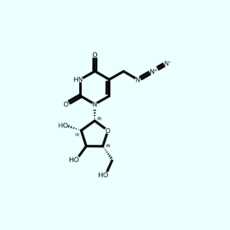 [N-]=[N+]=NCc1cn([C@@H]2O[C@H](CO)C(O)[C@@H]2O)c(=O)[nH]c1=O